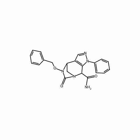 NC(=O)C1c2c(cnn2-c2ccccc2)C2CN1C(=O)N2OCc1ccccc1